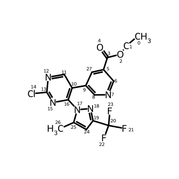 CCOC(=O)c1cncc(-c2cnc(Cl)nc2-n2nc(C(F)(F)F)cc2C)c1